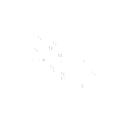 C[C@H](NC(=O)Nc1cc(F)c(C#N)c(F)c1)c1ncnn1-c1ncccn1